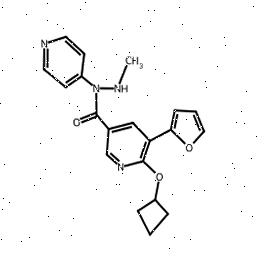 CNN(C(=O)c1cnc(OC2CCC2)c(-c2ccco2)c1)c1ccncc1